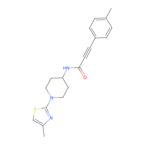 Cc1ccc(C#CC(=O)NC2CCN(c3nc(C)cs3)CC2)cc1